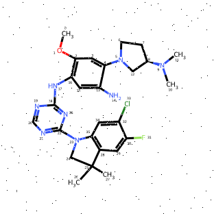 COc1cc(N2CC[C@@H](N(C)C)C2)c(N)cc1Nc1ncnc(N2CC(C)(C)c3cc(F)c(Cl)cc32)n1